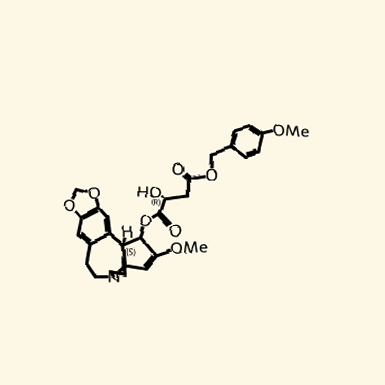 COC1=CC23CCCN2CCc2cc4c(cc2[C@@H]3C1OC(=O)[C@H](O)CC(=O)OCc1ccc(OC)cc1)OCO4